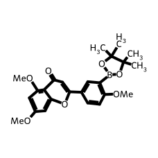 COc1cc(OC)c2c(=O)cc(-c3ccc(OC)c(B4OC(C)(C)C(C)(C)O4)c3)oc2c1